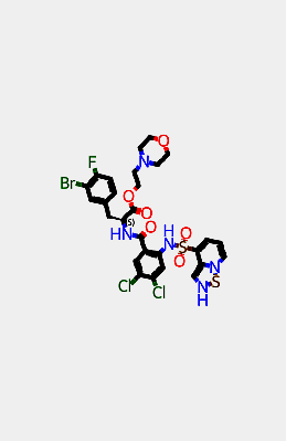 O=C(N[C@@H](Cc1ccc(F)c(Br)c1)C(=O)OCCN1CCOCC1)c1cc(Cl)c(Cl)cc1NS(=O)(=O)C1=CC=CN2SNC=C12